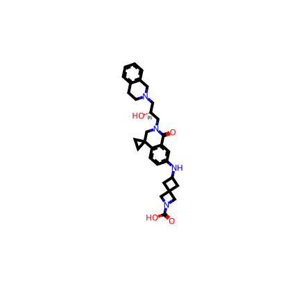 O=C(O)N1CC2(CC(Nc3ccc4c(c3)C(=O)N(C[C@H](O)CN3CCc5ccccc5C3)CC43CC3)C2)C1